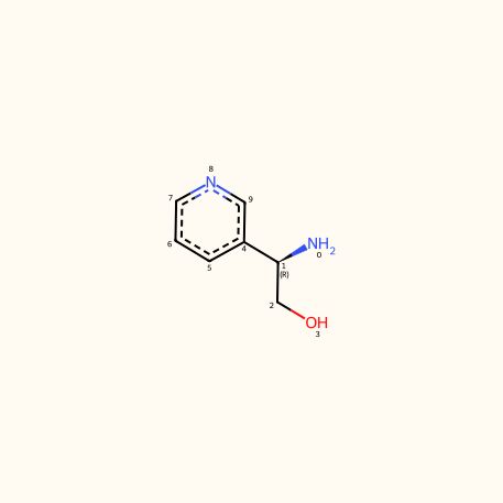 N[C@@H](CO)c1cccnc1